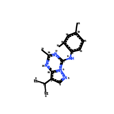 CCC(CC)c1cnn2c(Nc3ccc(C)cc3C)nc(C)nc12